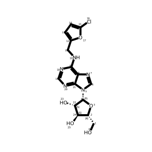 OC[C@H]1O[C@@H](n2cnc3c(NCc4ccc(Cl)o4)ncnc32)[C@@H](O)[C@@H]1O